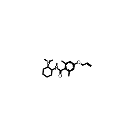 C=CCOc1cc(C)c(C(=O)N(C)C2CCCCC2N(C)C)c(C)c1